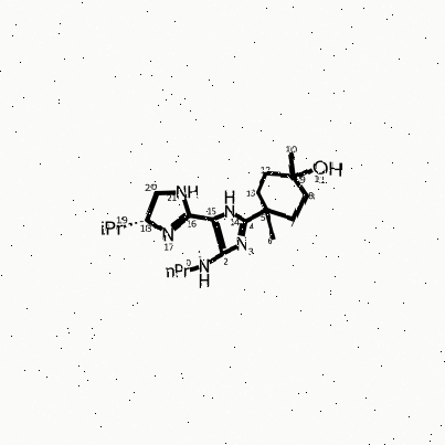 CCCNc1nc(C2(C)CCC(C)(O)CC2)[nH]c1C1=N[C@H](C(C)C)CN1